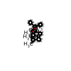 Cc1cc(C)cc(-c2cccc3c4cccc(-c5cc(C)cc(C)c5)c4n(-c4cccc5c4C(=O)N(c4cc(-c6ccccc6)cc(-c6ccccc6)c4)C5=O)c23)c1